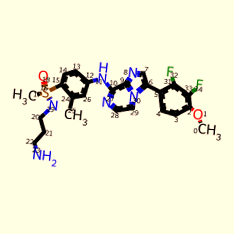 COc1ccc(-c2cnc3c(Nc4ccc(S(C)(=O)=NCCCN)c(C)c4)nccn23)c(F)c1F